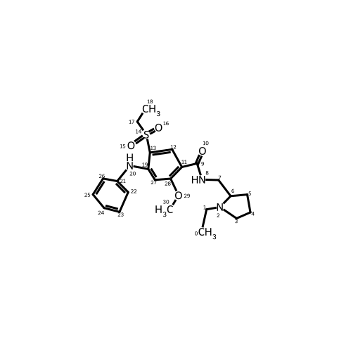 CCN1CCCC1CNC(=O)c1cc(S(=O)(=O)CC)c(Nc2ccccc2)cc1OC